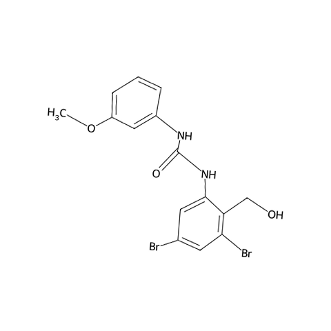 COc1cccc(NC(=O)Nc2cc(Br)cc(Br)c2CO)c1